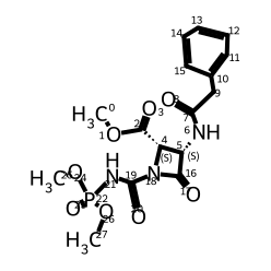 COC(=O)[C@@H]1[C@H](NC(=O)Cc2ccccc2)C(=O)N1C(=O)NP(=O)(OC)OC